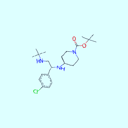 CC(C)(C)NCC(NC1CCN(C(=O)OC(C)(C)C)CC1)c1ccc(Cl)cc1